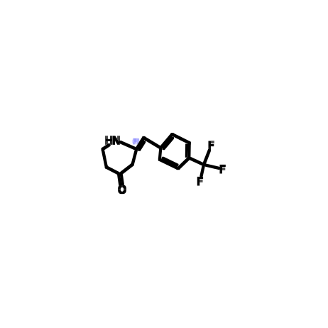 O=C1CCN/C(=C/c2ccc(C(F)(F)F)cc2)C1